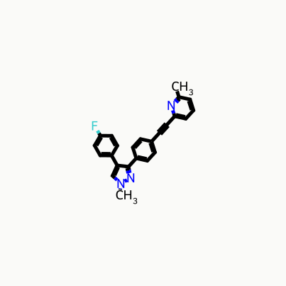 Cc1cccc(C#Cc2ccc(-c3nn(C)cc3-c3ccc(F)cc3)cc2)n1